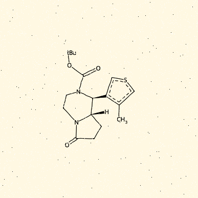 Cc1cscc1[C@H]1[C@@H]2CCC(=O)N2CCN1C(=O)OC(C)(C)C